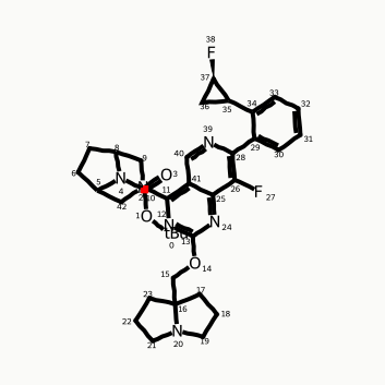 CC(C)(C)OC(=O)N1C2CCC1CN(c1nc(OCC34CCCN3CCC4)nc3c(F)c(-c4ccccc4C4C[C@H]4F)ncc13)C2